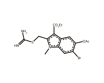 CCOC(=O)c1c(CSC(=N)N)n(C)c2cc(Br)c(OC(C)=O)cc12